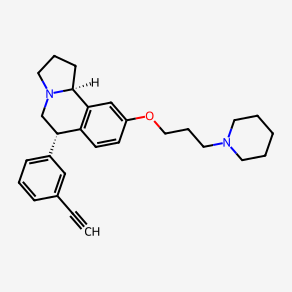 C#Cc1cccc([C@@H]2CN3CCC[C@H]3c3cc(OCCCN4CCCCC4)ccc32)c1